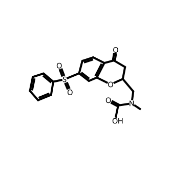 CN(CC1CC(=O)c2ccc(S(=O)(=O)c3ccccc3)cc2O1)C(=O)O